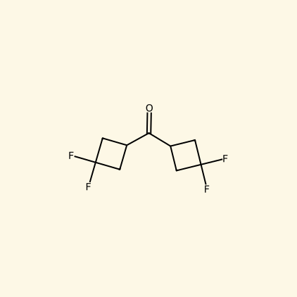 O=C(C1CC(F)(F)C1)C1CC(F)(F)C1